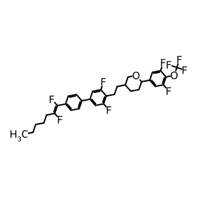 CCCCC/C(F)=C(\F)c1ccc(-c2cc(F)c(CCC3CCC(c4cc(F)c(OC(F)(F)F)c(F)c4)OC3)c(F)c2)cc1